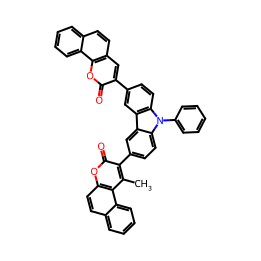 Cc1c(-c2ccc3c(c2)c2cc(-c4cc5ccc6ccccc6c5oc4=O)ccc2n3-c2ccccc2)c(=O)oc2ccc3ccccc3c12